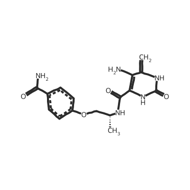 C=C1NC(=O)NC(C(=O)N[C@H](C)COc2ccc(C(N)=O)cc2)=C1N